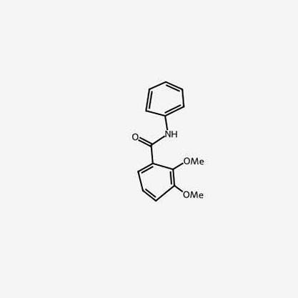 COc1cccc(C(=O)Nc2ccccc2)c1OC